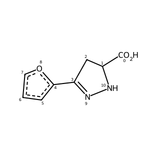 O=C(O)C1CC(c2ccco2)=NN1